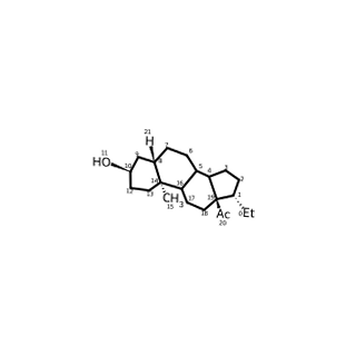 CC[C@H]1CCC2C3CC[C@H]4C[C@H](O)CC[C@]4(C)C3CC[C@]21C(C)=O